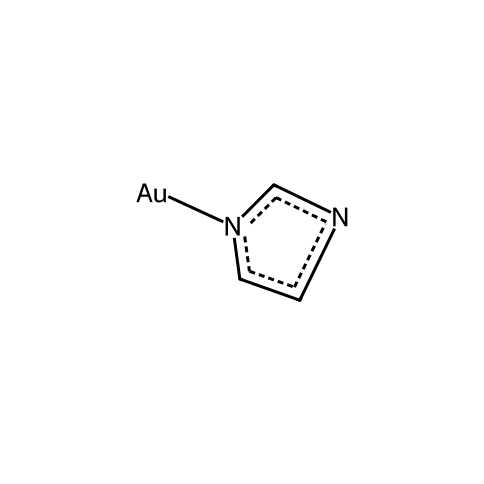 [Au][n]1ccnc1